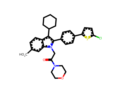 O=C(O)c1ccc2c(C3CCCCC3)c(-c3ccc(-c4ccc(Cl)s4)cc3)n(CC(=O)N3CCOCC3)c2c1